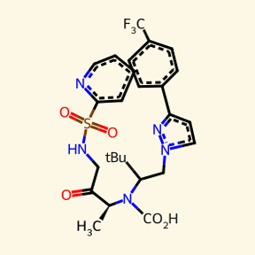 C[C@@H](C(=O)CNS(=O)(=O)c1ccccn1)N(C(=O)O)C(Cn1ccc(-c2ccc(C(F)(F)F)cc2)n1)C(C)(C)C